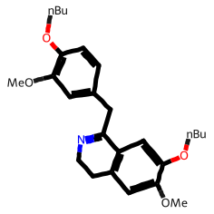 CCCCOc1ccc(CC2=NCCc3cc(OC)c(OCCCC)cc32)cc1OC